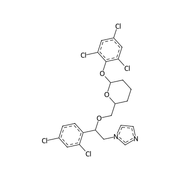 Clc1ccc(C(Cn2ccnc2)OCC2CCCC(Oc3c(Cl)cc(Cl)cc3Cl)O2)c(Cl)c1